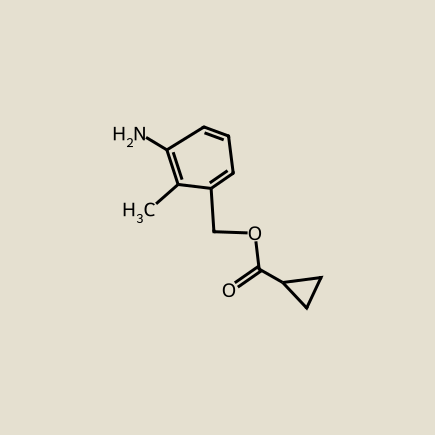 Cc1c(N)cccc1COC(=O)C1CC1